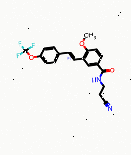 COc1ccc(C(=O)NCCC#N)cc1/C=C/c1ccc(OC(F)(F)F)cc1